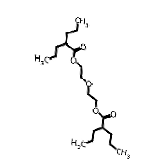 CCCC(CCC)C(=O)OCCOCCOC(=O)C(CCC)CCC